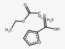 CCOC(C)=O.O=C(O)c1ccco1.S